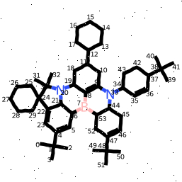 CC(C)(C)C1=CC2B3C4=C(CC(C5CCCCC5)CC4N4C2C(=C1)C1(CCCCC1)C4(C)C)N(C1C=CC(C(C)(C)C)CC1)C1CC=C(C(C)(C)C)CC31